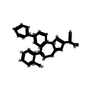 O=C(O)c1cc2n(n1)-c1ccc(-c3ccccc3)cc1C(c1ccccc1F)=NC2